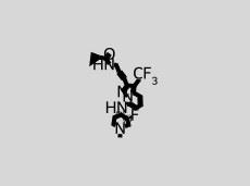 CN1CC[C@@H](Nc2cccc3c(CC(F)(F)F)c(C#CCNC(=O)C4CC4)nn23)[C@@H](F)C1